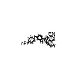 CCCN1CCN(Cc2ccc(C(=O)NN(CC(C)C)c3ccnc(C#N)n3)cc2)CC1